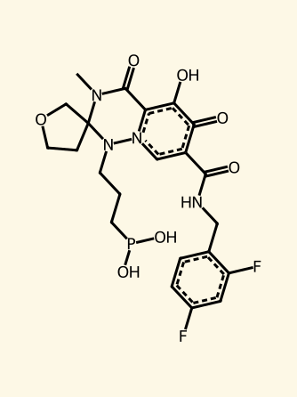 CN1C(=O)c2c(O)c(=O)c(C(=O)NCc3ccc(F)cc3F)cn2N(CCCP(O)O)C12CCOC2